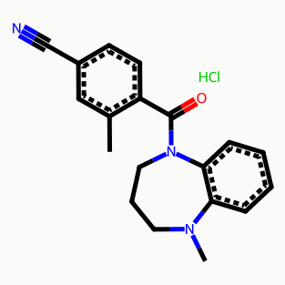 Cc1cc(C#N)ccc1C(=O)N1CCCN(C)c2ccccc21.Cl